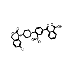 O=C(O)c1ccccc1C(=O)c1ccc(N2CCC(N3C(=O)OCc4ccc(Cl)cc43)CC2)c([N+](=O)[O-])c1